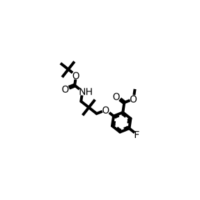 COC(=O)c1cc(F)ccc1OCC(C)(C)CNC(=O)OC(C)(C)C